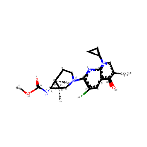 CCOC(=O)c1cn(C2CC2)c2nc(N3CC[C@H]4[C@@H](C3)[C@@H]4NC(=O)OC(C)(C)C)c(F)cc2c1=O